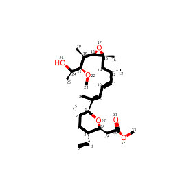 C=C[C@@H]1C[C@H](C)[C@@H](/C(C)=C/C=C/[C@@H](C)C[C@@]2(C)O[C@@H]2[C@H](C)[C@@H](OC)[C@@H](C)O)O[C@H]1CC(=O)OC